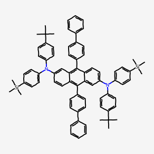 CC(C)(C)c1ccc(N(c2ccc([Si](C)(C)C)cc2)c2ccc3c(-c4ccc(-c5ccccc5)cc4)c4cc(N(c5ccc(C(C)(C)C)cc5)c5ccc([Si](C)(C)C)cc5)ccc4c(-c4ccc(-c5ccccc5)cc4)c3c2)cc1